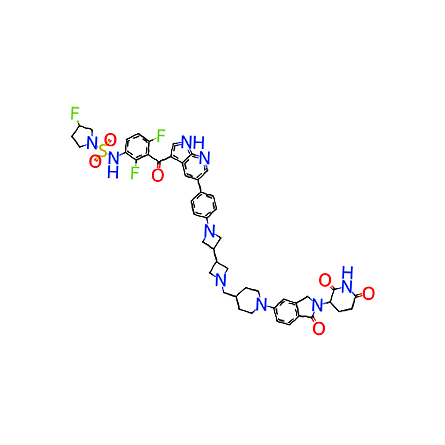 O=C1CCC(N2Cc3cc(N4CCC(CN5CC(C6CN(c7ccc(-c8cnc9[nH]cc(C(=O)c%10c(F)ccc(NS(=O)(=O)N%11CC[C@@H](F)C%11)c%10F)c9c8)cc7)C6)C5)CC4)ccc3C2=O)C(=O)N1